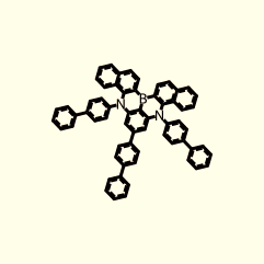 c1ccc(-c2ccc(-c3cc4c5c(c3)N(c3ccc(-c6ccccc6)cc3)c3c(ccc6ccccc36)B5c3ccc5ccccc5c3N4c3ccc(-c4ccccc4)cc3)cc2)cc1